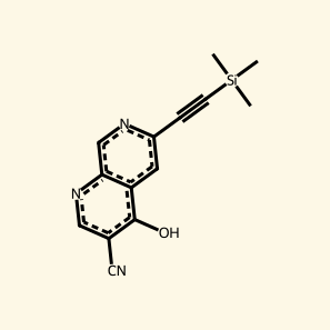 C[Si](C)(C)C#Cc1cc2c(O)c(C#N)cnc2cn1